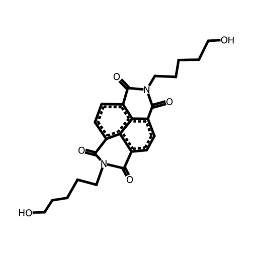 O=C1c2ccc3c4c(ccc(c24)C(=O)N1CCCCCO)C(=O)N(CCCCCO)C3=O